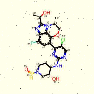 C[C@@H]1COc2c(-c3nc(N[C@@H]4CCN([SH]=O)C[C@H]4O)ncc3Cl)cc(F)c3nc([C@@H](C)O)n1c23